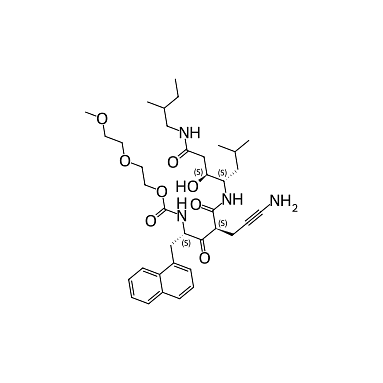 CCC(C)CNC(=O)C[C@H](O)[C@H](CC(C)C)NC(=O)[C@@H](CC#CN)C(=O)[C@H](Cc1cccc2ccccc12)NC(=O)OCCOCCOC